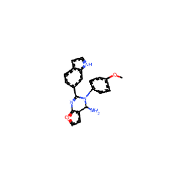 COc1ccc(N2C(c3ccc4cc[nH]c4c3)=Nc3occc3C2N)cc1